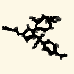 CNCc1cc(S(=O)(=O)c2ccc(OC)nc2)n(-c2ccccc2F)n1.Cl